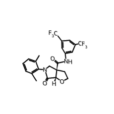 Cc1cccc(C)c1N1C[C@]2(C(=O)Nc3cc(C(F)(F)F)cc(C(F)(F)F)c3)CCO[C@@H]2C1=O